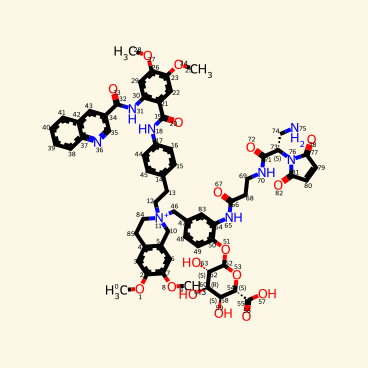 COc1cc2c(cc1OC)C[N+](CCc1ccc(NC(=O)c3cc(OC)c(OC)cc3NC(=O)c3cnc4ccccc4c3)cc1)(Cc1ccc(OC3O[C@H](C(=O)O)[C@@H](O)[C@@H](O)[C@@H]3O)c(NC(=O)CCNC(=O)[C@H](CN)N3C(=O)C=CC3=O)c1)CC2